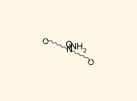 NC(=O)N(CCCCCCCCc1ccccc1)CCCCCCCCc1ccccc1